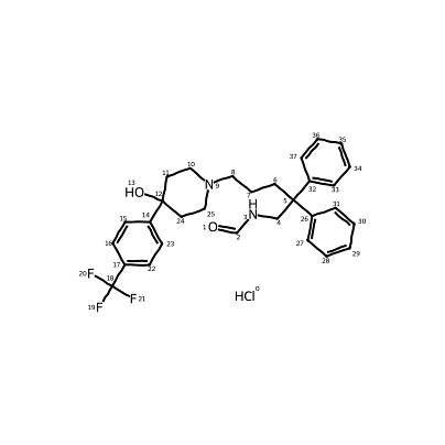 Cl.O=CNCC(CCCN1CCC(O)(c2ccc(C(F)(F)F)cc2)CC1)(c1ccccc1)c1ccccc1